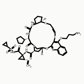 C=C[C@@H]1C[C@]1(NC(=O)[C@@H]1C[C@@H]2CN1C(=O)[C@H](C1CCCC1)NC(=O)O[C@@H]1CCC[C@H]1CCC=CCc1c(nc3ccccc3c1OCCCN)O2)C(=O)NS(=O)(=O)C1CC1